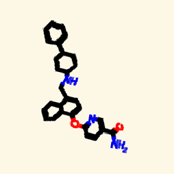 NC(=O)c1ccc(Oc2ccc(CNC3CCC(c4ccccc4)CC3)c3ccccc23)nc1